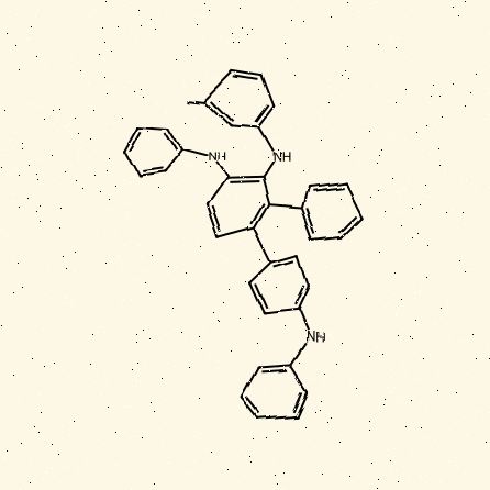 Cc1cccc(Nc2c(Nc3ccccc3)ccc(-c3ccc(Nc4ccccc4)cc3)c2-c2ccccc2)c1